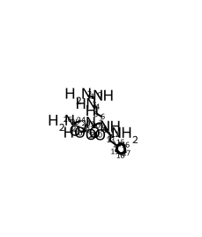 N=C(N)NCCC[C@H](NC(=O)[C@@H](N)Cc1ccccc1)C(=O)N[C@@H](CC(N)=O)C(=O)O